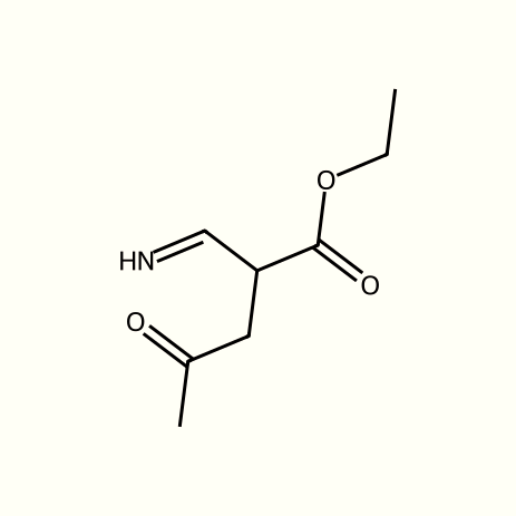 CCOC(=O)C(C=N)CC(C)=O